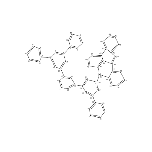 c1ccc(-c2cc(-c3ccccc3)cc(-c3cccc(-c4nc(-c5ccccc5)nc(N5c6ccccc6-c6nc7ccccc7c7cccc5c67)n4)c3)c2)cc1